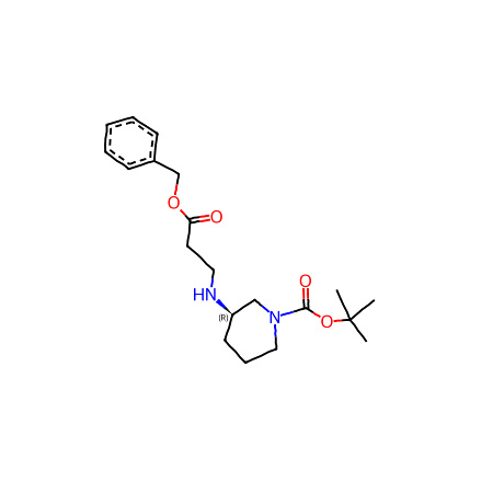 CC(C)(C)OC(=O)N1CCC[C@@H](NCCC(=O)OCc2ccccc2)C1